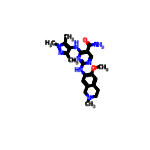 COc1cc2c(cc1Nc1ncc(C(N)=O)c(Nc3c(C)nn(C)c3C)n1)CN(C)CC2